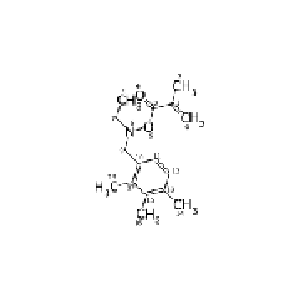 C=C(C)C(=O)ON(CC)Cc1ccc(C)c(C)c1C